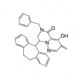 C=C1C=NN2C(=C1O)C(=O)N(Cc1ccccc1)CC2C1c2ccccc2CCc2ccccc21